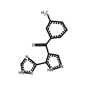 Cc1cccc(C(=O)c2cn[nH]c2-c2nc[nH]n2)c1